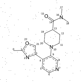 Cc1nc(-c2ccncc2N2CCC(C(=O)N(C)C)CC2)co1